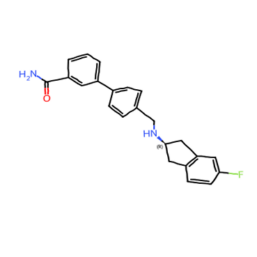 NC(=O)c1cccc(-c2ccc(CN[C@@H]3Cc4ccc(F)cc4C3)cc2)c1